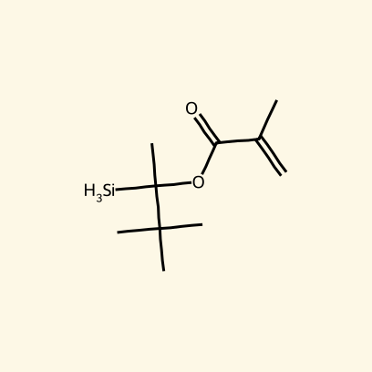 C=C(C)C(=O)OC(C)([SiH3])C(C)(C)C